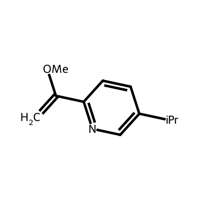 C=C(OC)c1ccc(C(C)C)cn1